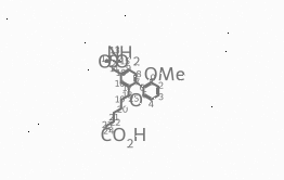 COc1cccc2c1-c1ccc(CS(N)(=O)=O)cc1C(CCCCCC(=O)O)O2